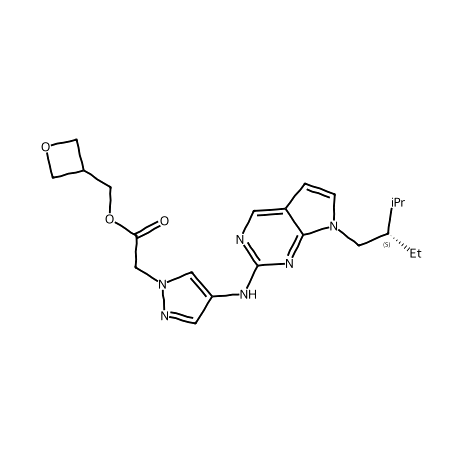 CC[C@H](Cn1ccc2cnc(Nc3cnn(CC(=O)OCC4COC4)c3)nc21)C(C)C